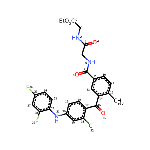 CCOC(=O)CNC(=O)CNC(=O)c1ccc(C)c(C(=O)c2ccc(Nc3ccc(F)cc3F)cc2Cl)c1